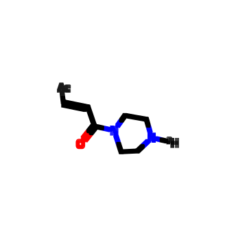 [2H]N1CCN(C(=O)C=CC(C)=O)CC1